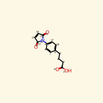 O=C(O)CCCc1ccc(N2C(=O)C=CC2=O)cc1